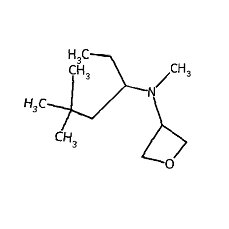 CCC(CC(C)(C)C)N(C)C1COC1